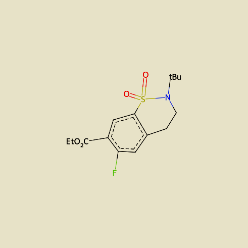 CCOC(=O)c1cc2c(cc1F)CCN(C(C)(C)C)S2(=O)=O